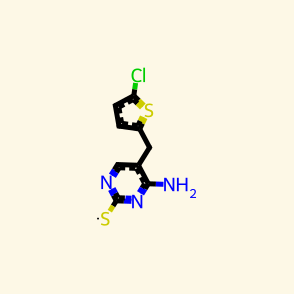 Nc1nc([S])ncc1Cc1ccc(Cl)s1